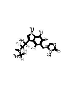 [2H]c1c(C[C@H]2COC(=O)N2[2H])c([2H])c2c(C([2H])([2H])C([2H])([2H])N(C)C([2H])([2H])[2H])cn([2H])c2c1[2H]